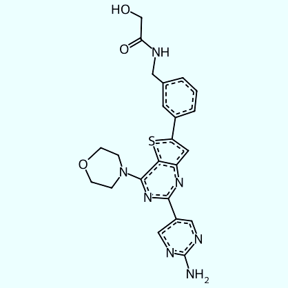 Nc1ncc(-c2nc(N3CCOCC3)c3sc(-c4cccc(CNC(=O)CO)c4)cc3n2)cn1